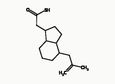 C=C(C)CC1CCCC2C(CC(=O)S)CCC12